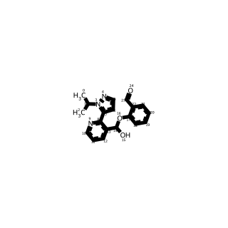 CC(C)n1nccc1-c1ncccc1C(O)Oc1ccccc1C=O